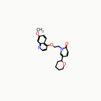 COc1ccc2c(OCCn3cc(C4CCCCO4)ccc3=O)ccnc2c1